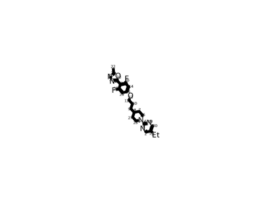 CCc1cnc(N2CCC(CCCOc3cc(F)c(-c4nnc(C)o4)c(F)c3)CC2)nc1